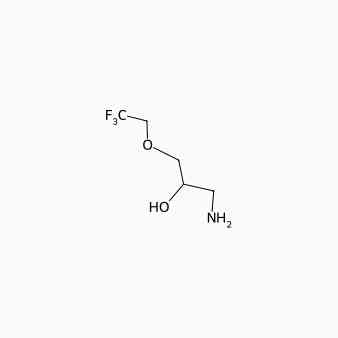 NCC(O)COCC(F)(F)F